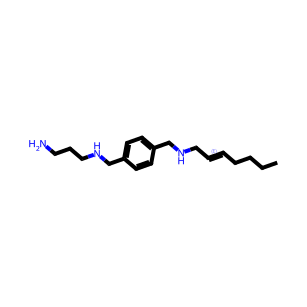 CCCC/C=C/CNCc1ccc(CNCCCN)cc1